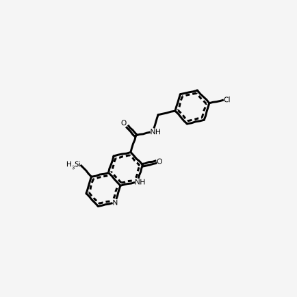 O=C(NCc1ccc(Cl)cc1)c1cc2c([SiH3])ccnc2[nH]c1=O